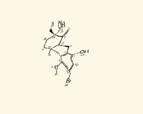 C=C1[C@@H](Cc2cc(OC)c(Br)cc2O)C(C)(C)CC[C@]1(C)O